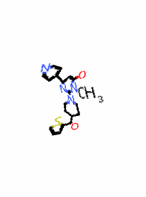 Cn1c(N2CCC(C(=O)c3cccs3)CC2)nc(-c2ccncc2)cc1=O